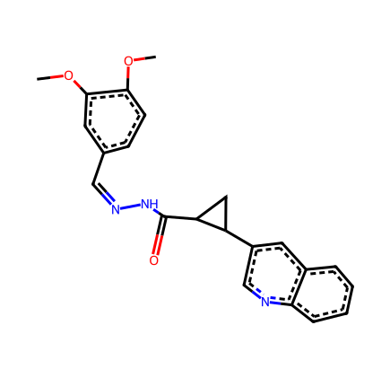 COc1ccc(/C=N\NC(=O)C2CC2c2cnc3ccccc3c2)cc1OC